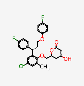 Cc1cc(Cl)cc([C@@H](CCOc2ccc(F)cc2)c2ccc(F)cc2)c1OCC1CC(O)CC(=O)O1